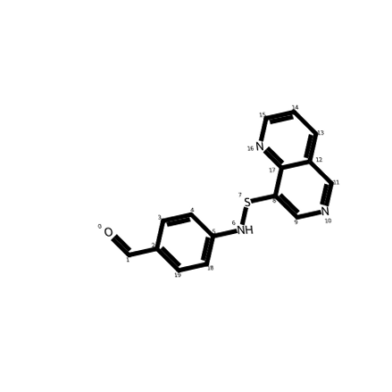 O=Cc1ccc(NSc2cncc3cccnc23)cc1